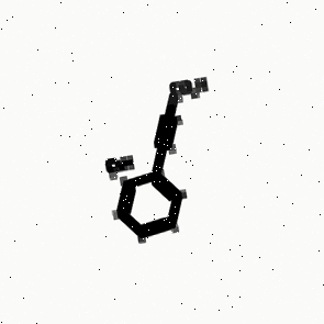 O=C(O)C#Cc1ccccc1.[CsH]